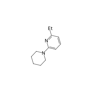 CCc1cccc(N2CCCCC2)n1